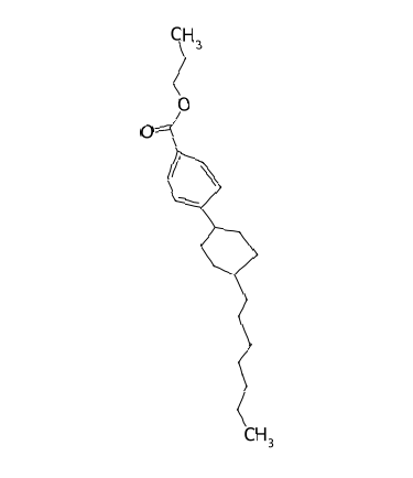 CCCCCCCC1CCC(c2ccc(C(=O)OCCC)cc2)CC1